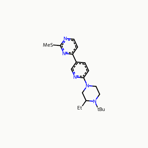 CCC1CN(c2ccc(-c3ccnc(SC)n3)cn2)CCN1C(C)(C)C